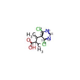 CC(C(=O)O)C(C)c1c(Cl)ncnc1Cl